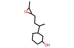 CC(CCC1OC1C)C1CCCC(O)C1